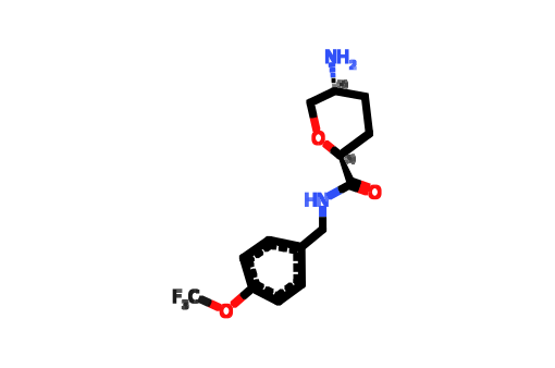 N[C@@H]1CC[C@@H](C(=O)NCc2ccc(OC(F)(F)F)cc2)OC1